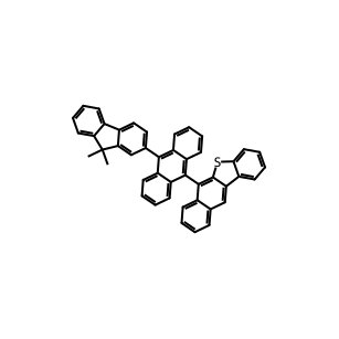 CC1(C)c2ccccc2-c2ccc(-c3c4ccccc4c(-c4c5ccccc5cc5c4sc4ccccc45)c4ccccc34)cc21